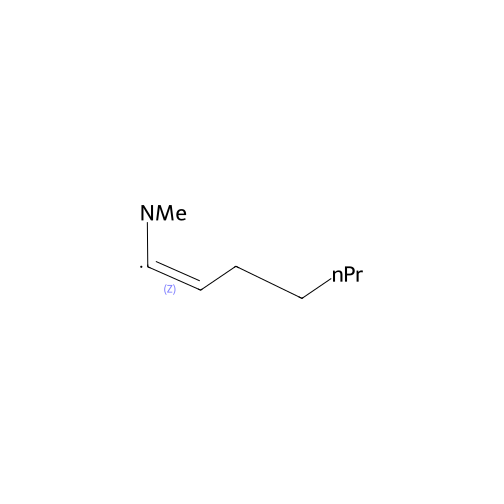 CCCCC/C=[C]\NC